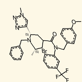 COc1ccc(CN(C(=O)C2C[C@H](C)N(Cc3ccccc3)[C@H](c3cn(C)nn3)C2)c2cc(C(F)(F)F)ccc2Br)cc1